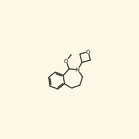 COC1c2ccccc2CCCN1C1COC1